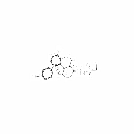 CCS(=O)(=O)NC[C@@H]1CCC[C@@]2(S(=O)(=O)c3ccc(Cl)cc3)c3c(F)ccc(F)c3OC[C@@H]12